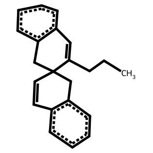 CCCC1=Cc2ccccc2CC12C=Cc1ccccc1C2